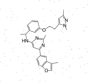 Cc1cc(CCOc2cccc(C(C)Nc3cc(-c4ccc5occ(C)c5c4)nc(C)n3)c2)n(C)n1